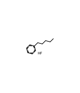 CCCCCc1ccccc1.F